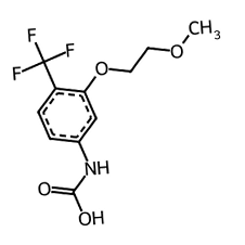 COCCOc1cc(NC(=O)O)ccc1C(F)(F)F